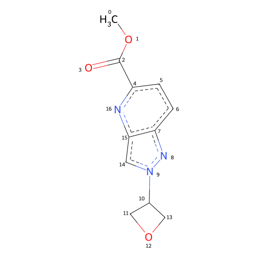 COC(=O)c1ccc2nn(C3COC3)cc2n1